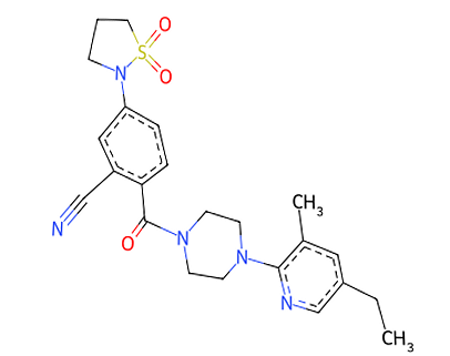 CCc1cnc(N2CCN(C(=O)c3ccc(N4CCCS4(=O)=O)cc3C#N)CC2)c(C)c1